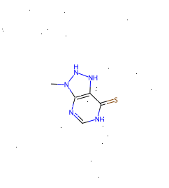 CN1NNc2c1nc[nH]c2=S